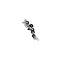 O=C1CC[C@@H](n2c(=O)n(C3CC3)c3c(N4CCC5(CCN(c6ccc([N+](=O)[O-])nc6)CC5)CC4)cccc32)C(=O)N1